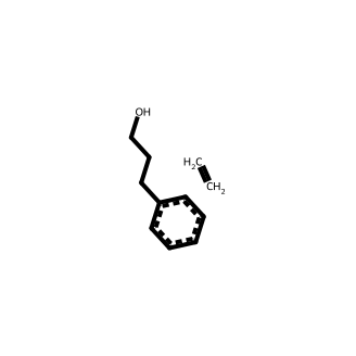 C=C.OCCCc1ccccc1